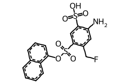 Nc1cc(CF)c(S(=O)(=O)Oc2cccc3ccccc23)cc1S(=O)(=O)O